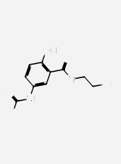 O=C(O)Nc1ccc(O)c(C(=O)NCCO)c1